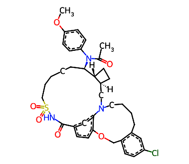 COc1ccc(N(C(C)=O)[C@@H]2CCCCCS(=O)(=O)NC(=O)c3ccc4c(c3)N(CCCCc3cc(Cl)ccc3CO4)C[C@@H]3CC[C@H]32)cc1